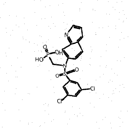 O=P(O)(O)CN(c1ccc2cccnc2c1)S(=O)(=O)c1cc(Cl)cc(Cl)c1